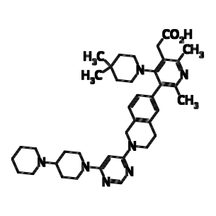 Cc1nc(C)c(-c2ccc3c(c2)CCN(c2cc(N4CCC(N5CCCCC5)CC4)ncn2)C3)c(N2CCC(C)(C)CC2)c1CC(=O)O